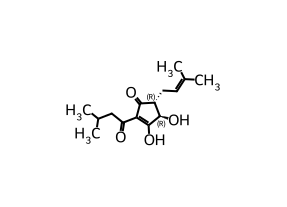 CC(C)=CC[C@H]1C(=O)C(C(=O)CC(C)C)=C(O)[C@@H]1O